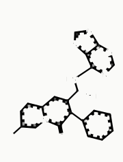 C[C@@H](Nc1ncnc2[nH]cnc12)c1cc2ccc(F)cn2c(=O)c1-c1ccccc1